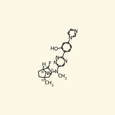 CN(c1cnc(-c2ccc(-n3ccnc3)cc2O)nn1)[C@H]1C[C@]2(C)CC[C@@H](N2)[C@H]1F